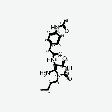 CCCCn1c(N)c(NC(=O)Cc2ccc(NC(C)=O)cc2)c(=O)[nH]c1=O